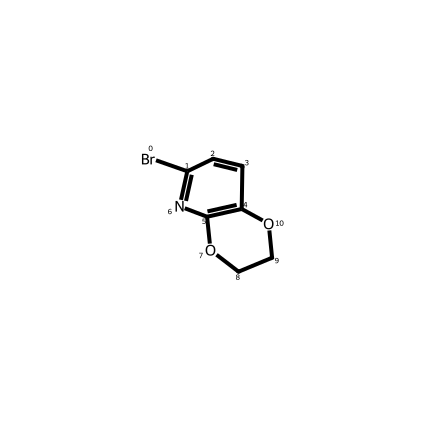 Brc1ccc2c(n1)OCCO2